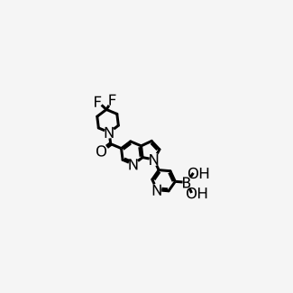 O=C(c1cnc2c(ccn2-c2cncc(B(O)O)c2)c1)N1CCC(F)(F)CC1